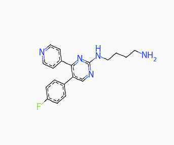 NCCCCNc1ncc(-c2ccc(F)cc2)c(-c2ccncc2)n1